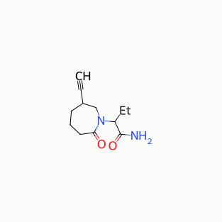 C#CC1CCCC(=O)N(C(CC)C(N)=O)C1